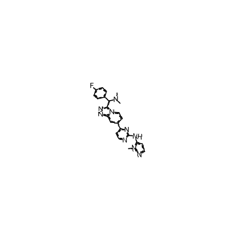 CN(C)C(c1ccc(F)cc1)c1nnc2cc(-c3ccnc(Nc4ccnn4C)n3)ccn12